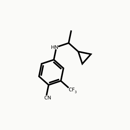 CC(Nc1ccc(C#N)c(C(F)(F)F)c1)C1CC1